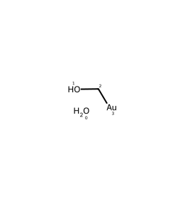 O.O[CH2][Au]